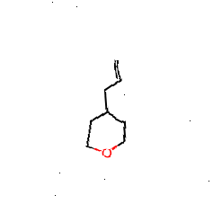 C=CCC1CCOCC1